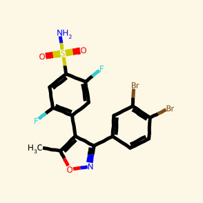 Cc1onc(-c2ccc(Br)c(Br)c2)c1-c1cc(F)c(S(N)(=O)=O)cc1F